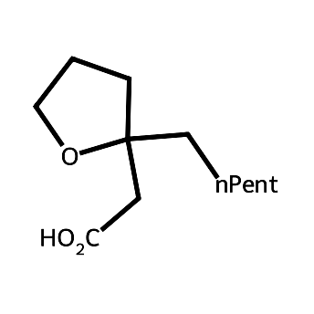 CCCCCCC1(CC(=O)O)CCCO1